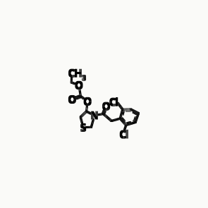 CCOC(=O)OC1CSCN1C(=O)Cc1c(Cl)cccc1Cl